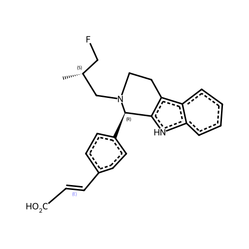 C[C@H](CF)CN1CCc2c([nH]c3ccccc23)[C@H]1c1ccc(/C=C/C(=O)O)cc1